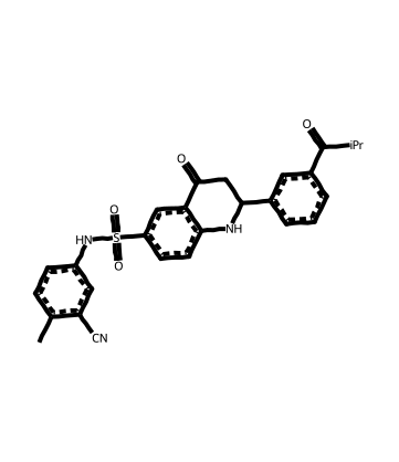 Cc1ccc(NS(=O)(=O)c2ccc3c(c2)C(=O)CC(c2cccc(C(=O)C(C)C)c2)N3)cc1C#N